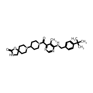 Cc1c(NCc2ccc(C(C)(C)C)cc2)ncnc1C(=O)N1CCC(N2CCC3(CC2)CNC(=O)O3)CC1